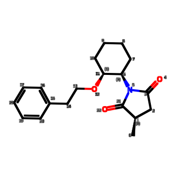 C[C@@H]1CC(=O)N([C@@H]2CCCC[C@@H]2OCCc2ccccc2)C1=O